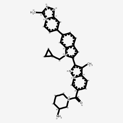 Cc1c(-c2cc3ccc(-c4ccn5c(C)nnc5c4)cc3n2CC2CC2)nn2cc(C(=O)N3CCCC(N)C3)ccc12